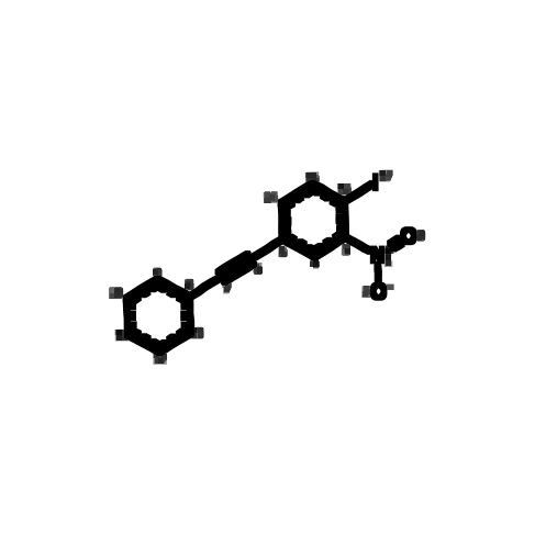 O=[N+]([O-])c1cc(C#Cc2ccccc2)ccc1I